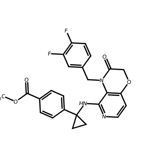 COC(=O)c1ccc(C2(Nc3nccc4c3N(Cc3ccc(F)c(F)c3)C(=O)CO4)CC2)cc1